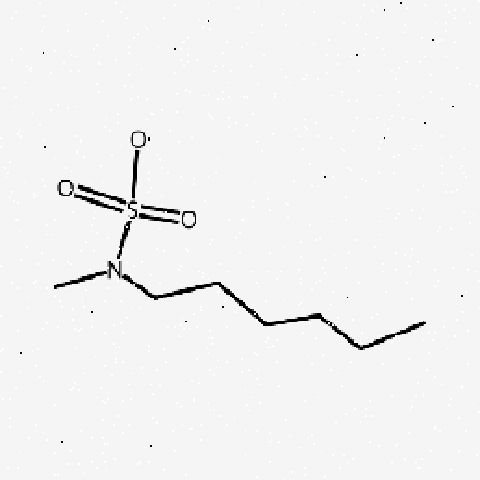 CCCCCCN(C)S([O])(=O)=O